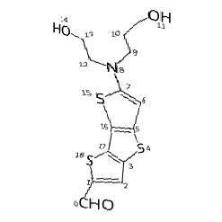 O=Cc1cc2sc3cc(N(CCO)CCO)sc3c2s1